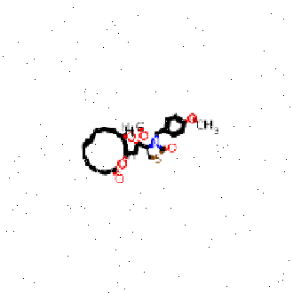 COc1ccc(CN2C(=O)SC[C@H]2[C@@]2(OC)C[C@H]3C[C@@H](CCC/C=C/CCCCC(=O)O3)O2)cc1